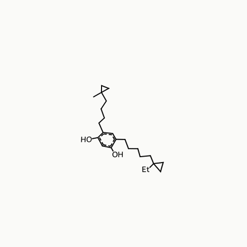 CCC1(CCCCCc2cc(CCCCC3(C)CC3)c(O)cc2O)CC1